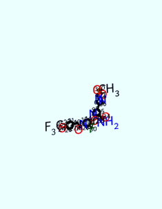 CS(=O)(=O)Cn1cc(-c2cnc(O[C@@H]3CCN(C(=O)Cc4ccc(OC(F)(F)F)cc4)C[C@@H]3F)c(C(N)=O)c2)cn1